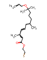 C=CCOC(C)(C)CCCC(C)CC=CC(C)=CC(=O)OCC=S